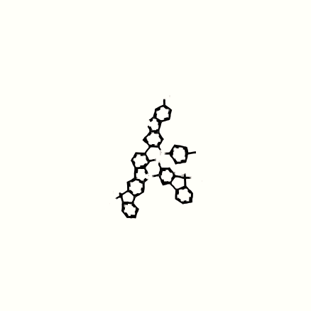 CC(C)(C)c1ccc(Nc2cc3c(cc2-c2ccc4c5cc6c(cc5n5c4c2Bc2cc4c(cc2-5)-c2ccccc2C4(C)C)-c2ccccc2C6(C)C)oc2cc(C(C)(C)C)ccc23)cc1